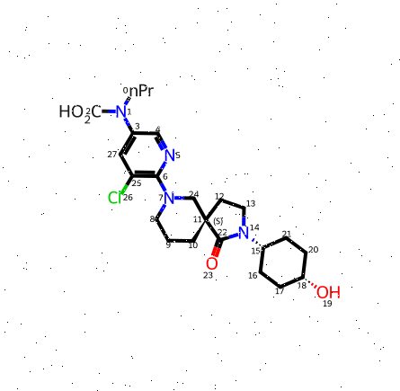 CCCN(C(=O)O)c1cnc(N2CCC[C@]3(CCN([C@H]4CC[C@@H](O)CC4)C3=O)C2)c(Cl)c1